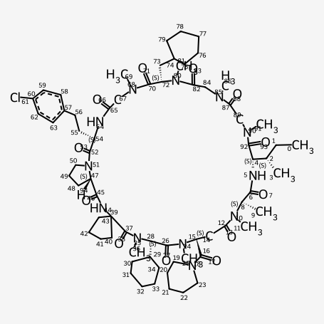 CC[C@H](C)[C@@H]1NC(=O)[C@H](C)N(C)C(=O)C[C@@H](C(=O)N2CCCCC2)N(C)C(=O)[C@H](C2CCCCC2)N(C)C(=O)C2(CCCC2)NC(=O)[C@@H]2CCCN2C(=O)[C@H](CCc2ccc(Cl)cc2)NC(=O)CN(C)C(=O)[C@H](CC2CCCCC2)N(C)C(=O)CN(C)C(=O)CN(C)C1=O